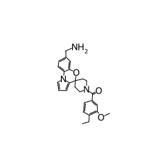 CCc1ccc(C(=O)N2CCC3(CC2)Oc2cc(CN)ccc2-n2cccc23)cc1OC